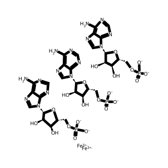 Nc1ncnc2c1ncn2[C@@H]1O[C@H](COP(=O)([O-])[O-])[C@@H](O)[C@H]1O.Nc1ncnc2c1ncn2[C@@H]1O[C@H](COP(=O)([O-])[O-])[C@@H](O)[C@H]1O.Nc1ncnc2c1ncn2[C@@H]1O[C@H](COP(=O)([O-])[O-])[C@@H](O)[C@H]1O.[Fe+3].[Fe+3]